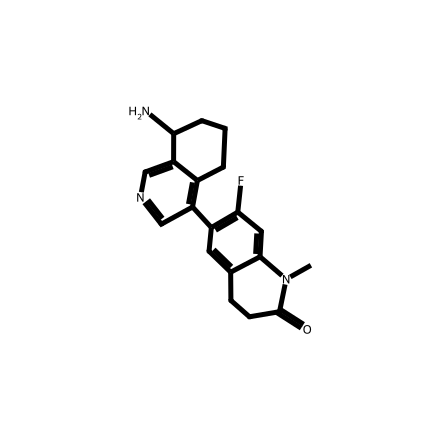 CN1C(=O)CCc2cc(-c3cncc4c3CCCC4N)c(F)cc21